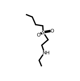 CCCCS(=O)(=O)CCNCC